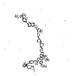 Cc1ncsc1-c1ccc(CNC(=O)[C@@H]2C[C@@H](O)CN2C(=O)[C@@H](NC(=O)COCCOCCOCCOCC(O)COc2ccc3nc(-c4ccc(N(C)C)cc4)ccc3c2)C(C)(C)C)cc1